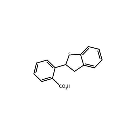 O=C(O)c1ccccc1C1Cc2ccccc2S1